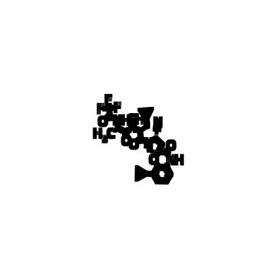 C[C@H](NC(=O)C(F)(F)F)C(=O)N(C)[C@@H](CC1CC1)C(=O)N1C[C@@]2(C[C@H]1C#N)Oc1c(cccc1C1CC1)NC2=O